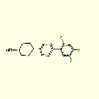 CCC[C@H]1CC[C@H](c2ccc(-c3cc(F)c(F)cc3F)cc2)CC1